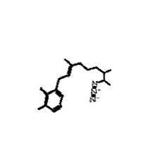 C/C(=C\Cc1cccc(C)c1C)CCCC(C)C(C)N=[N+]=[N-]